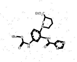 CCOC(=O)C1CCCN(c2ccc(NC(=O)OC(C)(C)C)cc2NC(=O)c2cscn2)C1